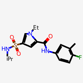 CCn1cc(S(=O)(=O)NC(C)C)cc1C(=O)Nc1ccc(F)c(C)c1